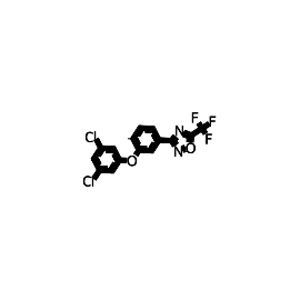 FC(F)(F)c1nc(-c2cc[c]c(Oc3cc(Cl)cc(Cl)c3)c2)no1